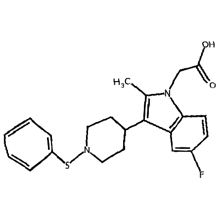 Cc1c(C2CCN(Sc3ccccc3)CC2)c2cc(F)ccc2n1CC(=O)O